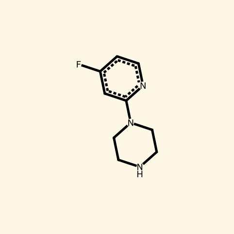 Fc1ccnc(N2CCNCC2)c1